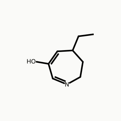 CCC1C=C(O)C=NCC1